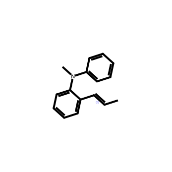 C/C=C/c1ccccc1N(C)c1ccccc1